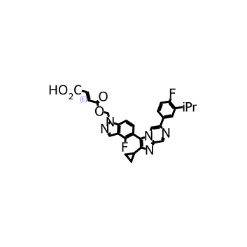 CC(C)c1cc(-c2cn3c(-c4ccc5c(cnn5COC(=O)/C=C/C(=O)O)c4F)c(C4CC4)nc3cn2)ccc1F